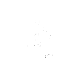 CCCCCCCC/C=C\CCCCCCCC(N)=O.OCCN(CCO)CCO